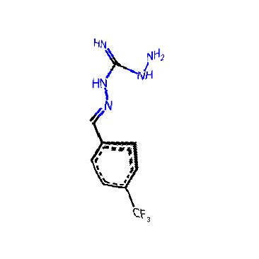 N=C(NN)NN=Cc1ccc(C(F)(F)F)cc1